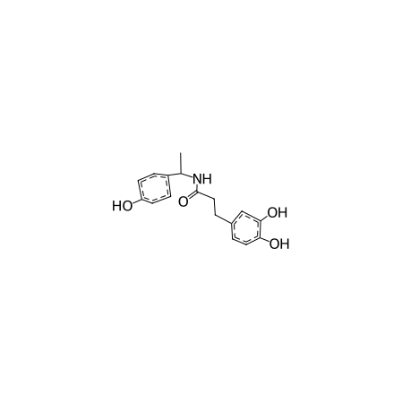 CC(NC(=O)CCc1ccc(O)c(O)c1)c1ccc(O)cc1